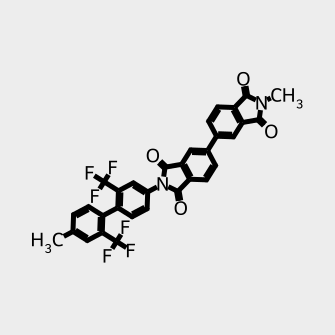 Cc1ccc(-c2ccc(N3C(=O)c4ccc(-c5ccc6c(c5)C(=O)N(C)C6=O)cc4C3=O)cc2C(F)(F)F)c(C(F)(F)F)c1